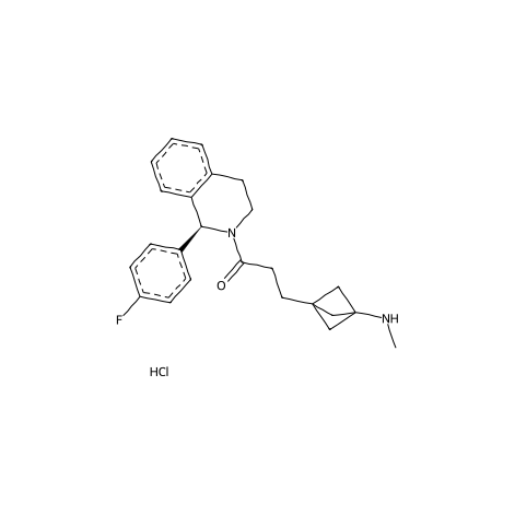 CNC12CC(CCC(=O)N3CCc4ccccc4[C@@H]3c3ccc(F)cc3)(C1)C2.Cl